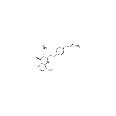 Cc1cccc2c(=O)[nH]c(CSC3CCN(CCCN)CC3)nc12.Cl.Cl